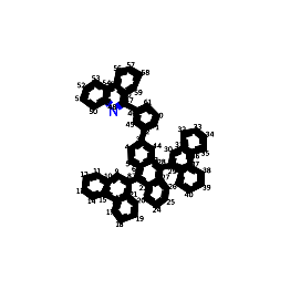 c1cc(-c2ccc3c(-c4cc5ccccc5c5ccccc45)c4ccccc4c(-c4cc5ccccc5c5ccccc45)c3c2)cc(-c2nc3ccccc3c3ccccc23)c1